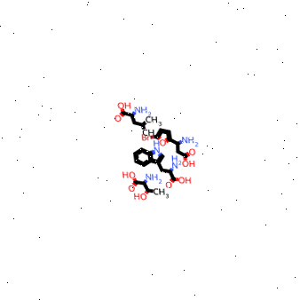 CC(C)CC(N)C(=O)O.CC(O)C(N)C(=O)O.NC(CC(=O)O)c1ccc(Br)o1.NC(Cc1c[nH]c2ccccc12)C(=O)O